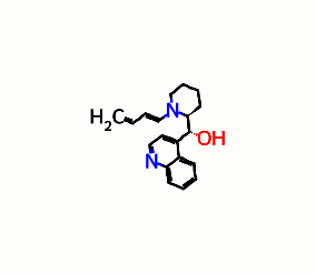 C=C/C=C/N1CCCC[C@H]1[C@H](O)c1ccnc2ccccc12